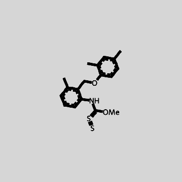 COC(Nc1cccc(C)c1COc1ccc(C)cc1C)=S=S